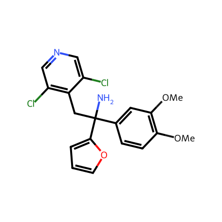 COc1ccc(C(N)(Cc2c(Cl)cncc2Cl)c2ccco2)cc1OC